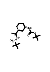 C[C@H](N[S@@+]([O-])C(C)(C)C)[C@H]1CCC[C@@H](NC(=O)OC(C)(C)C)C1